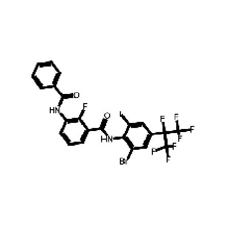 O=C(Nc1cccc(C(=O)Nc2c(Br)cc(C(F)(C(F)(F)F)C(F)(F)F)cc2I)c1F)c1ccccc1